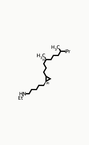 CCNCCCCC[C@@H]1CC1CCC[C@@H](C)CCCC(C)C(C)C